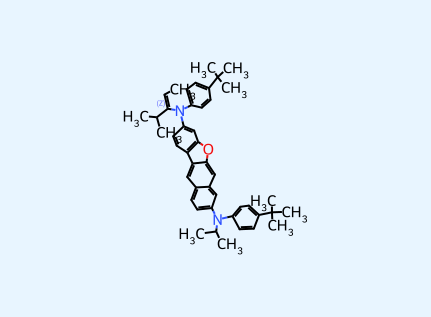 C/C=C(/C(C)C)N(c1ccc(C(C)(C)C)cc1)c1ccc2c(c1)oc1cc3cc(N(c4ccc(C(C)(C)C)cc4)C(C)C)ccc3cc12